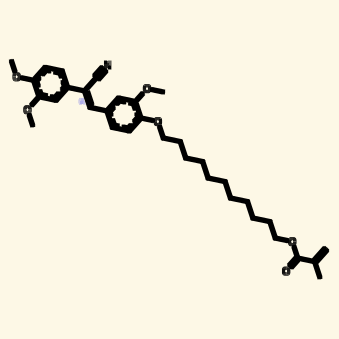 C=C(C)C(=O)OCCCCCCCCCCCOc1ccc(/C=C(\C#N)c2ccc(OC)c(OC)c2)cc1OC